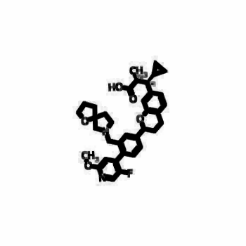 COc1cc(-c2ccc(C3CCc4ccc([C@H](C5CC5)[C@H](C)C(=O)O)cc4O3)cc2CN2CCC3(CCCO3)C2)c(F)cn1